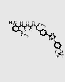 CCc1cccc(C)c1NC(=S)NC(=O)NC(C)Cc1ccc(-c2ncn(-c3ccc(OC(F)(F)F)cc3)n2)cc1